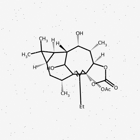 CCC1=C[C@]23C(O)[C@@H]([C@H](O)[C@H](C)[C@H]4OC(=O)O[C@]42[C@H]1OC(C)=O)[C@H]1[C@@H](C[C@H]3C)C1(C)C